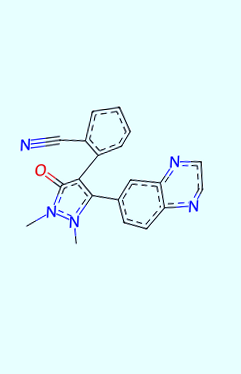 Cn1c(-c2ccc3nccnc3c2)c(-c2ccccc2C#N)c(=O)n1C